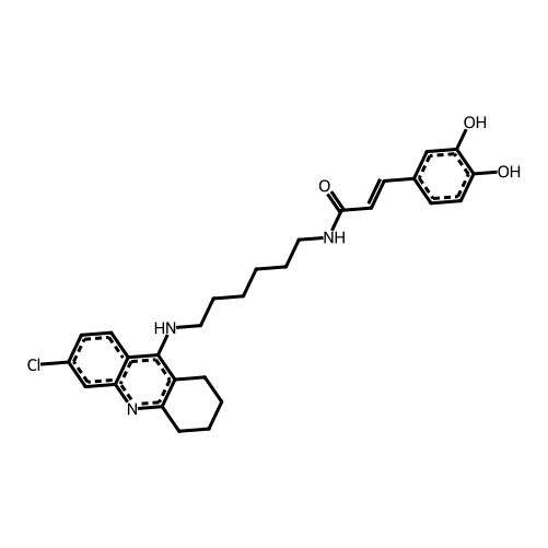 O=C(/C=C/c1ccc(O)c(O)c1)NCCCCCCNc1c2c(nc3cc(Cl)ccc13)CCCC2